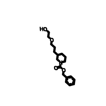 O=C(OCc1ccccc1)N1CCCC(CCCOCCO)C1